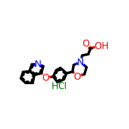 Cl.O=C(O)CCN1CCOC(c2ccc(Oc3cncc4ccccc34)cc2)C1